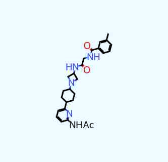 CC(=O)Nc1cccc(C2CCC(N3CC(NC(=O)CNC(=O)c4cccc(C)c4)C3)CC2)n1